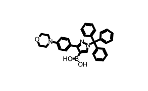 OB(O)c1cn(C(c2ccccc2)(c2ccccc2)c2ccccc2)nc1-c1ccc(N2CCOCC2)cc1